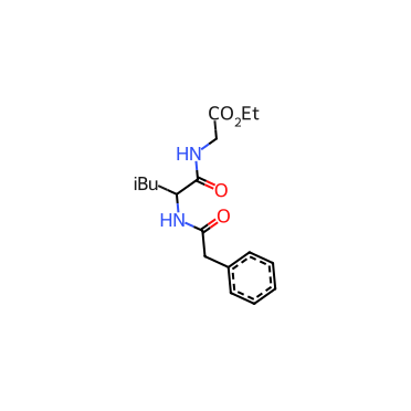 CCOC(=O)CNC(=O)C(NC(=O)Cc1ccccc1)C(C)CC